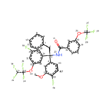 COc1cc([C@@](Cc2ccccc2)(NC(=O)c2cccc(OC(F)(F)F)c2)c2cc(F)cc(OC(F)(F)C(F)F)c2)ccc1F